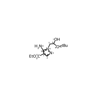 CCOC(=O)c1cnn(CC(O)OC(C)(C)C)c1N